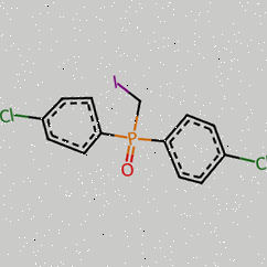 O=P(CI)(c1ccc(Cl)cc1)c1ccc(Cl)cc1